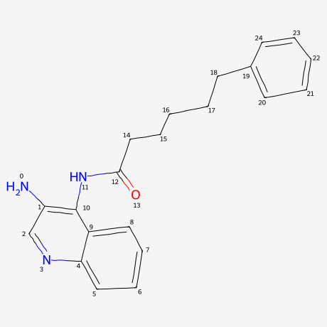 Nc1cnc2ccccc2c1NC(=O)CCCCCc1ccccc1